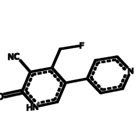 N#Cc1c(CF)c(-c2ccncc2)c[nH]c1=O